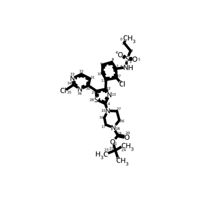 CCCS(=O)(=O)Nc1cccc(-c2nc(N3CCN(C(=O)OC(C)(C)C)CC3)sc2-c2ccnc(Cl)n2)c1Cl